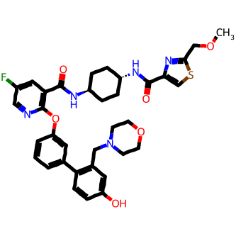 COCc1nc(C(=O)N[C@H]2CC[C@H](NC(=O)c3cc(F)cnc3Oc3cccc(-c4ccc(O)cc4CN4CCOCC4)c3)CC2)cs1